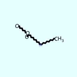 CCCCCCCC/C=C\CCCCCCCC(=O)OCCCCCC=O